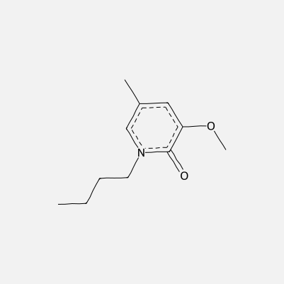 CCCCn1cc(C)cc(OC)c1=O